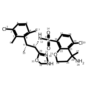 Cc1c(Cl)ccc(F)c1[C@@H](C)[C@H](NS(=O)(=O)c1ccc(Cl)c2c1OCCC2(C)N)C1=NNCO1